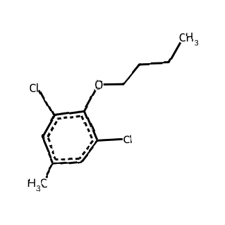 CCCCOc1c(Cl)cc(C)cc1Cl